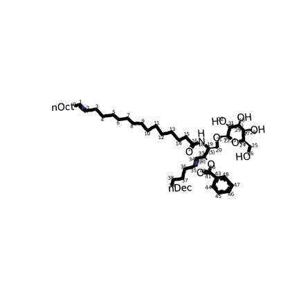 CCCCCCCC/C=C/CCCCCCCCCCCCCC(=O)N[C@@H](CO[C@@H]1O[C@H](CO)[C@H](O)[C@H](O)[C@H]1O)[C@@H](/C=C/CCCCCCCCCCCCC)OC(=O)c1ccccc1